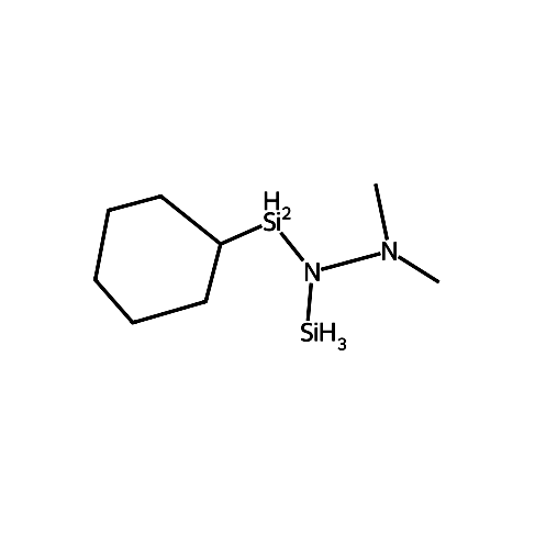 CN(C)N([SiH3])[SiH2]C1CCCCC1